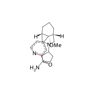 CO[C@@]1(c2ccnc(C(N)=O)c2)[C@@H]2CCC[C@H]1CN(C1CCCC1)C2